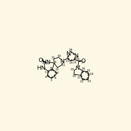 O=C1Nc2ccccc2C2(CCN(c3cc(C(=O)N4CCc5ccccc54)ncn3)CC2)N1